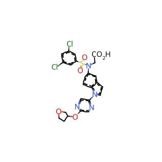 O=C(O)CN(c1ccc2c(ccn2-c2cnc(OC3CCOC3)cn2)c1)S(=O)(=O)c1cc(Cl)cc(Cl)c1